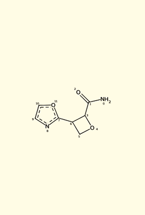 NC(=O)C1OCC1c1ncco1